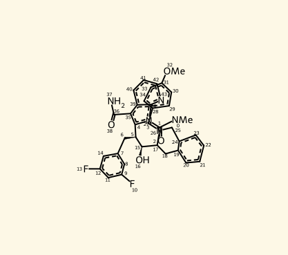 CNC(=O)n1c([C@H](Cc2cc(F)cc(F)c2)[C@H](O)C2Cc3ccccc3CN2Cc2ccc(OC)cc2)c(C(N)=O)c2cccnc21